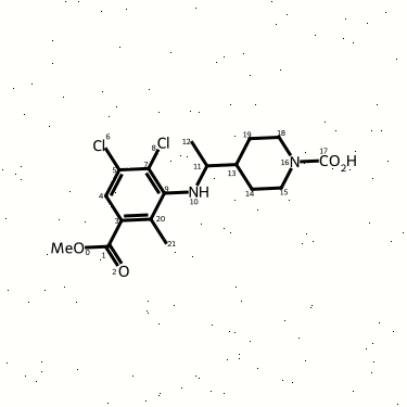 COC(=O)c1cc(Cl)c(Cl)c(NC(C)C2CCN(C(=O)O)CC2)c1C